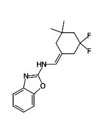 CC1(C)C/C(=C\Nc2nc3ccccc3o2)CC(F)(F)C1